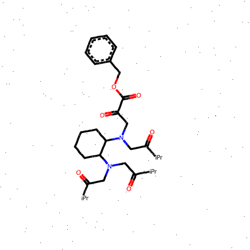 CC(C)C(=O)CN(CC(=O)C(=O)OCc1ccccc1)C1CCCCC1N(CC(=O)C(C)C)CC(=O)C(C)C